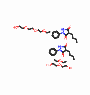 CCCCC1C(=O)NN(c2ccccc2)C1=O.CCCCC1C(=O)NN(c2ccccc2)C1=O.CCOCC.CCOCC.OCCOCCO.OCCOCCO